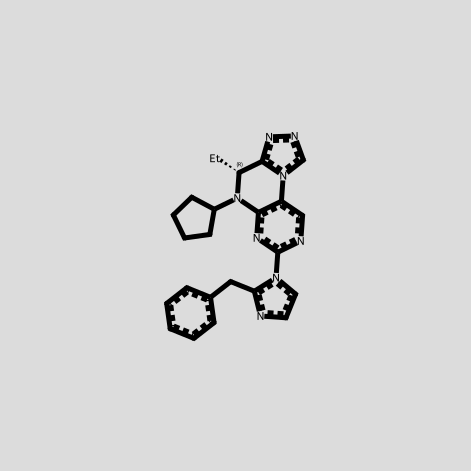 CC[C@@H]1c2nncn2-c2cnc(-n3ccnc3Cc3ccccc3)nc2N1C1CCCC1